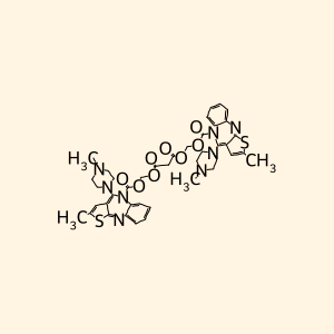 Cc1cc2c(s1)=Nc1ccccc1N(C(=O)OCOC(=O)CC(=O)OCOC(=O)N1C(N3CCN(C)CC3)=c3cc(C)sc3=Nc3ccccc31)C=2N1CCN(C)CC1